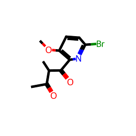 COc1ccc(Br)nc1C(=O)C(C)C(C)=O